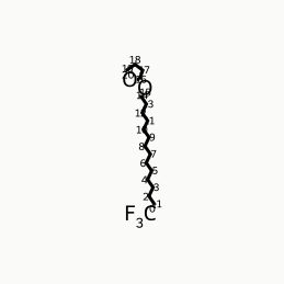 FC(F)(F)CCCCCCCCCCCCCCOC1CCCO1